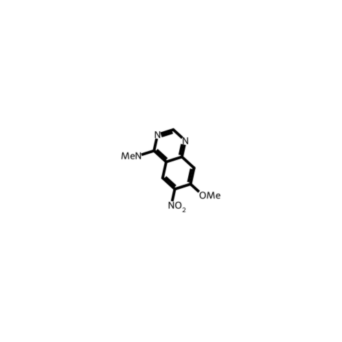 CNc1ncnc2cc(OC)c([N+](=O)[O-])cc12